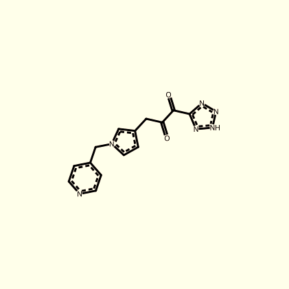 O=C(Cc1ccn(Cc2ccncc2)c1)C(=O)c1nn[nH]n1